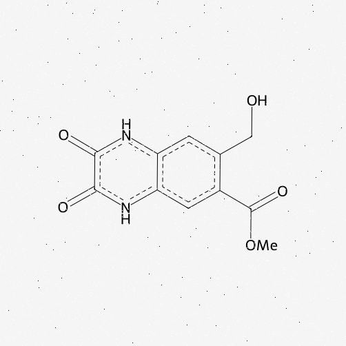 COC(=O)c1cc2[nH]c(=O)c(=O)[nH]c2cc1CO